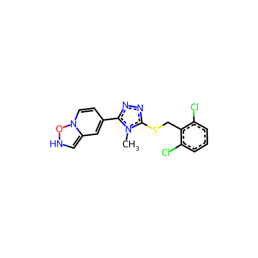 Cn1c(SCc2c(Cl)cccc2Cl)nnc1C1=CC2=CNON2C=C1